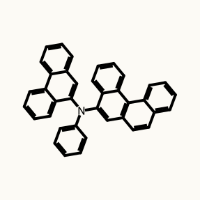 c1ccc(N(c2cc3ccccc3c3ccccc23)c2cc3ccc4ccccc4c3c3ccccc23)cc1